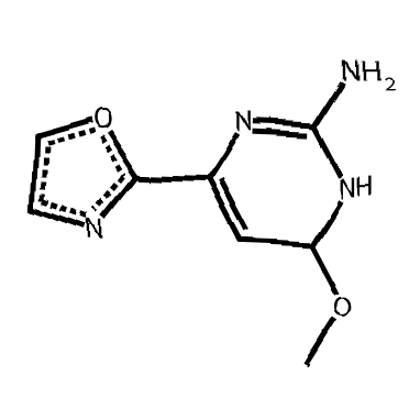 COC1C=C(c2ncco2)N=C(N)N1